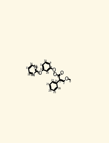 CO/C=C(\C(=O)OOc1cccc(Oc2ncccn2)c1)c1ccccc1